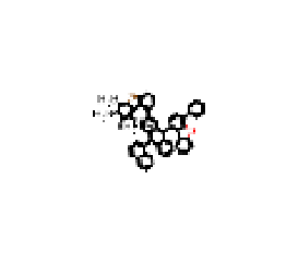 Bc1c(B)c(B)c2c(sc3cccc(-c4ccc5c(-c6cccc7ccccc67)c6ccccc6c(-c6ccc(-c7ccccc7)c7oc8ccccc8c67)c5c4)c32)c1B